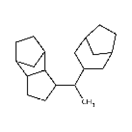 CC(C1CC2CCC(C2)C1)C1CCC2C3CCC(C3)C21